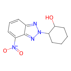 O=[N+]([O-])c1cccc2nn(C3CCCCC3O)nc12